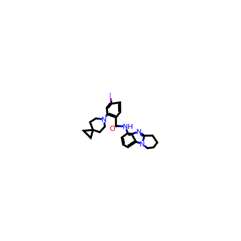 O=C(Nc1cccc2c1nc1n2CCCC1)c1ccc(I)cc1N1CCC2(CC1)CC2